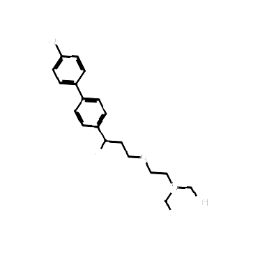 CCN(CC)CCNCCC(C)c1ccc(-c2ccc(Cl)cc2)cc1